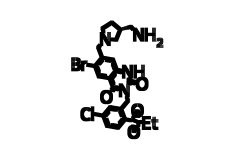 CCS(=O)(=O)c1ccc(Cl)cc1Cn1c(=O)[nH]c2cc(CN3CC[C@@H](CN)C3)c(Br)cc2c1=O